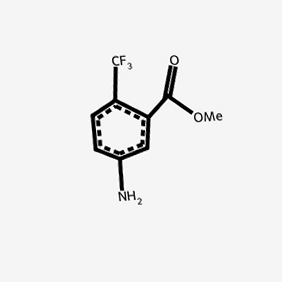 COC(=O)c1cc(N)ccc1C(F)(F)F